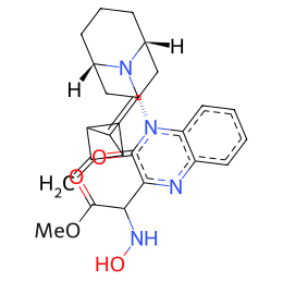 C=C1C2CC1C2=CN1[C@@H]2CCC[C@H]1C[C@@H](n1c(=O)c(C(NO)C(=O)OC)nc3ccccc31)C2